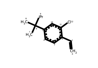 C=Cc1ccc(C(C)(C)C(C)C)cc1Cl